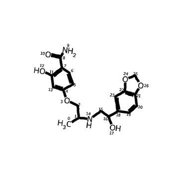 CC(COc1ccc(C(N)=O)c(O)c1)NCC(O)c1ccc2c(c1)OCO2